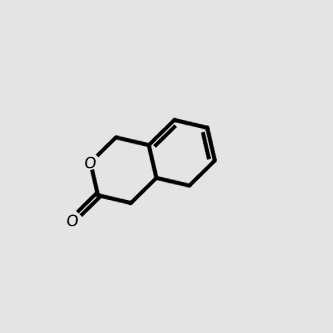 O=C1CC2CC=CC=C2CO1